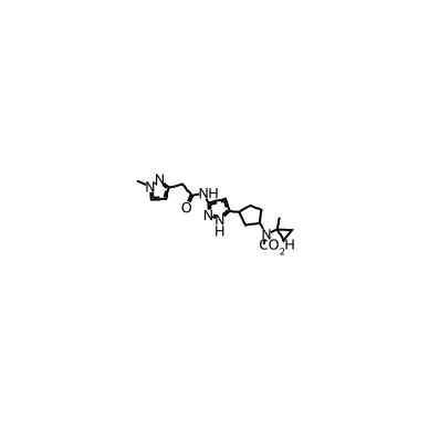 Cn1ccc(CC(=O)Nc2cc(C3CCC(N(C(=O)O)C4(C)CC4)C3)[nH]n2)n1